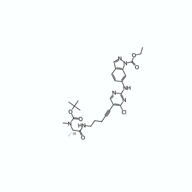 CCOC(=O)n1ncc2ccc(Nc3ncc(C#CCCCNC(=O)[C@H](C)N(C)C(=O)OC(C)(C)C)c(Cl)n3)cc21